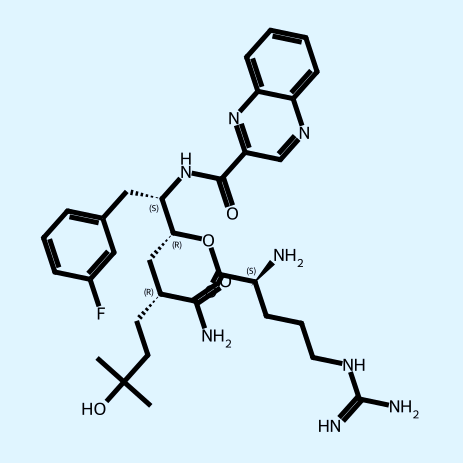 CC(C)(O)CC[C@H](C[C@@H](OC(=O)[C@@H](N)CCCNC(=N)N)[C@H](Cc1cccc(F)c1)NC(=O)c1cnc2ccccc2n1)C(N)=O